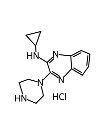 Cl.c1ccc2nc(N3CCNCC3)c(NC3CC3)nc2c1